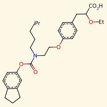 CCOC(Cc1ccc(OCCN(CCCC(C)C)C(=O)Oc2ccc3c(c2)CCC3)cc1)C(=O)O